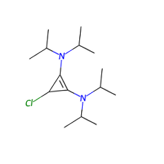 CC(C)N(C1=C(N(C(C)C)C(C)C)C1Cl)C(C)C